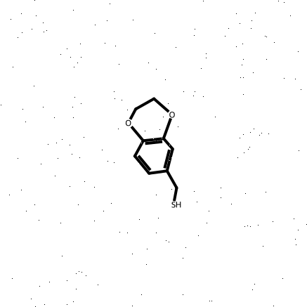 SCc1ccc2c(c1)OCCO2